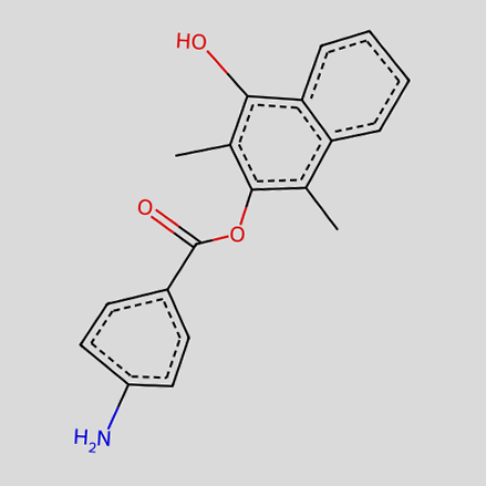 Cc1c(OC(=O)c2ccc(N)cc2)c(C)c2ccccc2c1O